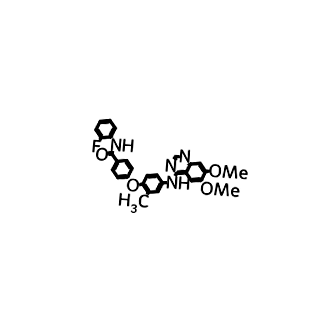 COc1cc2ncnc(Nc3ccc(Oc4ccc(C(=O)Nc5ccccc5F)cc4)c(C)c3)c2cc1OC